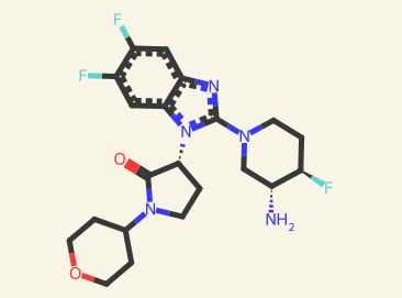 N[C@@H]1CN(c2nc3cc(F)c(F)cc3n2[C@@H]2CCN(C3CCOCC3)C2=O)CC[C@H]1F